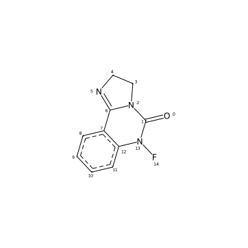 O=C1N2CCN=C2c2ccccc2N1F